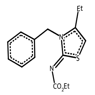 CCOC(=O)/N=c1\scc(CC)n1Cc1ccccc1